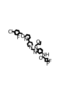 O=C(Nc1ccc2c(c1)nc(CN1CCC(c3cccc(OCc4ccc(Cl)cc4F)n3)CC1)n2CC1CCO1)C1CC(F)(F)C1